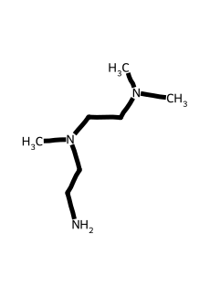 CN(C)CCN(C)CCN